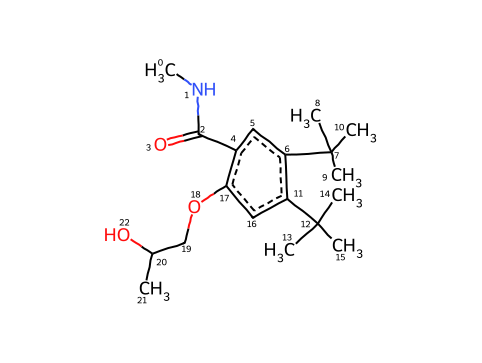 CNC(=O)c1cc(C(C)(C)C)c(C(C)(C)C)cc1OCC(C)O